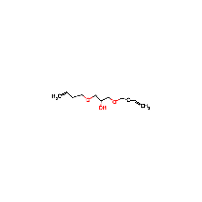 C=CCCOCC(O)COCCC=C